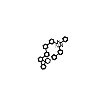 c1ccc(-c2cccc(-c3nc(-c4ccccc4)nc(-c4cccc(-c5cccc(-c6cccc(-c7cccc8c7C7(CCCCC7)c7ccccc7-8)c6)c5)c4)n3)c2)cc1